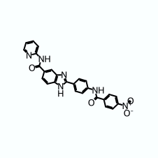 O=C(Nc1ccc(-c2nc3cc(C(=O)Nc4ccccn4)ccc3[nH]2)cc1)c1ccc([N+](=O)[O-])cc1